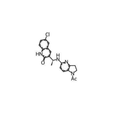 CC(=O)N1CCc2nc(N[C@@H](C)c3cc4cc(Cl)ccc4[nH]c3=O)ccc21